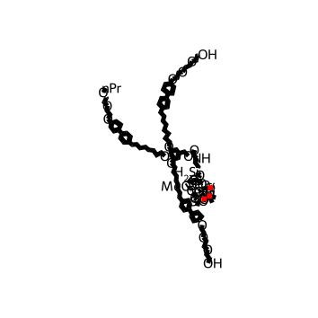 CCCOCCOCCOc1ccc(-c2ccc(CCCCCCCCOc3c(OCCCCCCCCc4ccc(-c5ccc(OCCOCCOCCO)cc5)cc4)cc(COC(=O)NCC[SiH2]O[Si]45O[Si](C)(OC)O[Si]6(C)O[Si]7(C)O[Si](C)(C)O[Si](C)(O[Si](C)(O7)O[Si](C)(O6)O4)O5)cc3OCCCCCCCCc3ccc(-c4ccc(OCCOCCOCCO)cc4)cc3)cc2)cc1